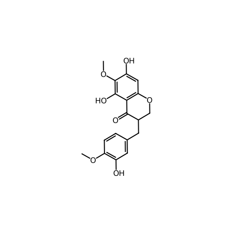 COc1ccc(CC2COc3cc(O)c(OC)c(O)c3C2=O)cc1O